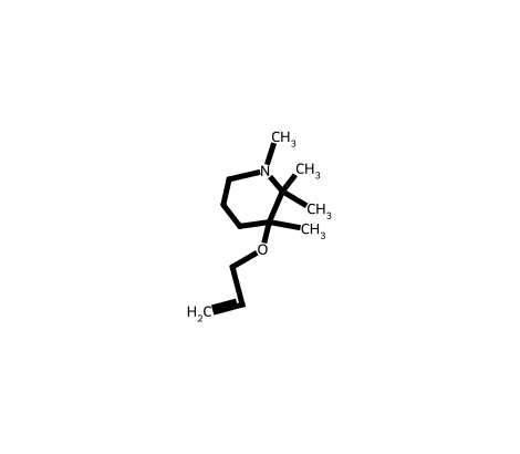 C=CCOC1(C)CCCN(C)C1(C)C